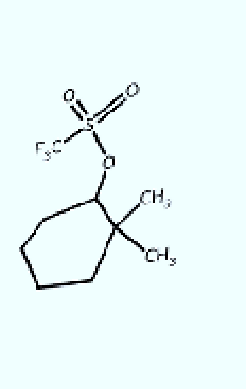 CC1(C)CCCCC1OS(=O)(=O)C(F)(F)F